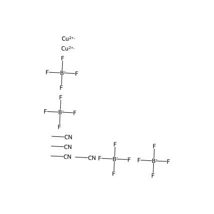 CC#N.CC#N.CC#N.CC#N.F[B-](F)(F)F.F[B-](F)(F)F.F[B-](F)(F)F.F[B-](F)(F)F.[Cu+2].[Cu+2]